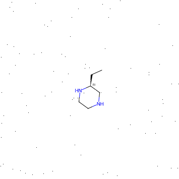 CC[C@H]1[CH]NCCN1